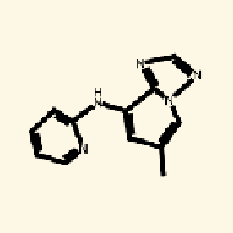 Cc1cc(Nc2ccccn2)c2ncnn2c1